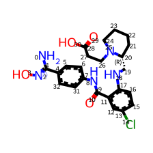 N/C(=N\O)c1ccc(NC(=O)c2cc(Cl)ccc2NC[C@H]2CCCCN2CCC(=O)O)cc1